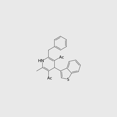 CC(=O)C1=C(C)NC(Cc2ccccc2)=C(C(C)=O)C1c1csc2ccccc12